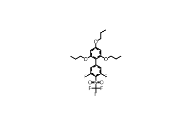 CCCOc1cc(OCCC)c(-c2cc(F)c(S(=O)(=O)C(F)(F)F)c(F)c2)c(OCCC)c1